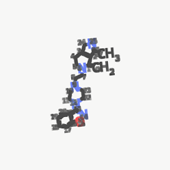 C=C1C2=C(CCN1CCN1CCN(c3noc4ccccc34)CC1)CN=C2C